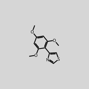 COc1cc(OC)c(-c2cscn2)c(OC)c1